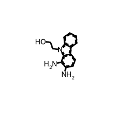 Nc1ccc2c3ccccc3n(CCO)c2c1N